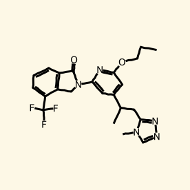 CCCOc1cc(C(C)Cc2nncn2C)cc(N2Cc3c(cccc3C(F)(F)F)C2=O)n1